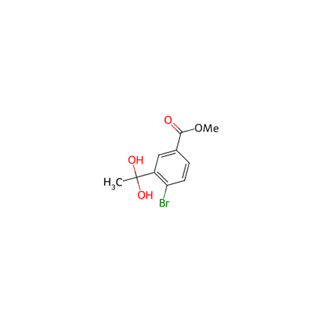 COC(=O)c1ccc(Br)c(C(C)(O)O)c1